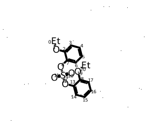 CCOc1ccccc1OS(=O)(=O)Oc1ccccc1OCC